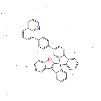 c1ccc2c(c1)-c1ccc(-c3ccc(-c4cccc5cccnc45)cc3)cc1C21c2ccccc2-c2c1oc1ccccc21